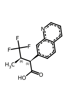 C[C@H]([C@H](C(=O)O)c1ccc2cccnc2c1)C(F)(F)F